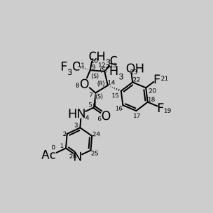 CC(=O)c1cc(NC(=O)[C@H]2O[C@](C)(C(F)(F)F)[C@@H](C)[C@@H]2c2ccc(F)c(F)c2O)ccn1